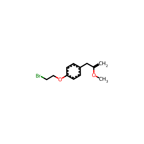 C=C(Cc1ccc(OCCBr)cc1)OC